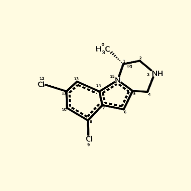 C[C@@H]1CNCc2cc3c(Cl)cc(Cl)cc3n21